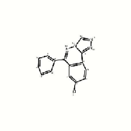 Clc1ccc2c(c1)c(-c1ccccc1)nn1cnnc21